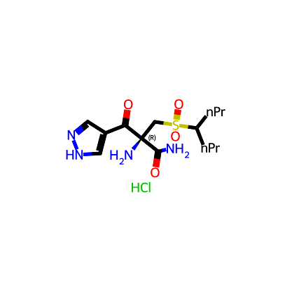 CCCC(CCC)S(=O)(=O)C[C@](N)(C(N)=O)C(=O)c1cn[nH]c1.Cl